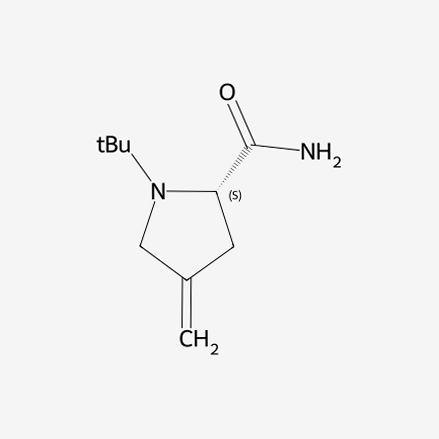 C=C1C[C@@H](C(N)=O)N(C(C)(C)C)C1